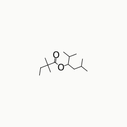 CCC(C)(C)C(=O)OC(CC(C)C)C(C)C